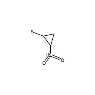 O=[SH](=O)C1CC1F